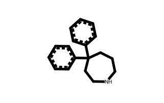 c1ccc(C2(c3ccccc3)CCCNCC2)cc1